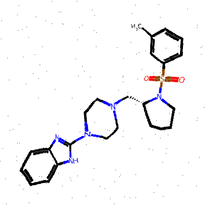 Cc1cccc(S(=O)(=O)N2CCC[C@@H]2CN2CCN(c3nc4ccccc4[nH]3)CC2)c1